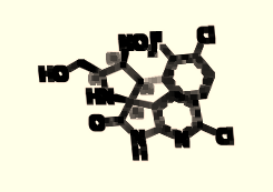 O=C1Nc2nc(Cl)ccc2[C@]12N[C@@H](CO)[C@@H]([N+](=O)[O-])[C@@H]2c1cccc(Cl)c1F